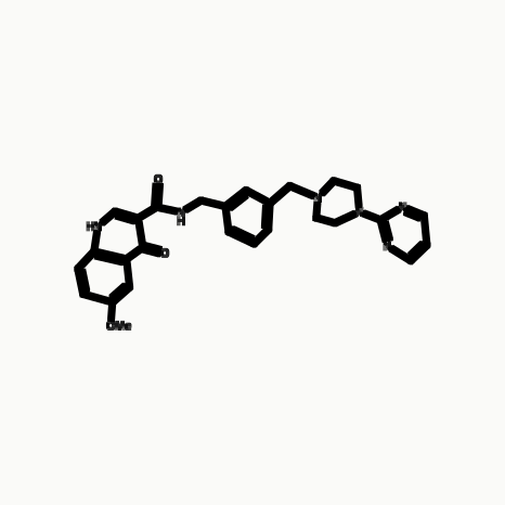 COc1ccc2[nH]cc(C(=O)NCc3cccc(CN4CCN(c5ncccn5)CC4)c3)c(=O)c2c1